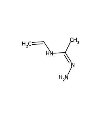 C=CN/C(C)=N\N